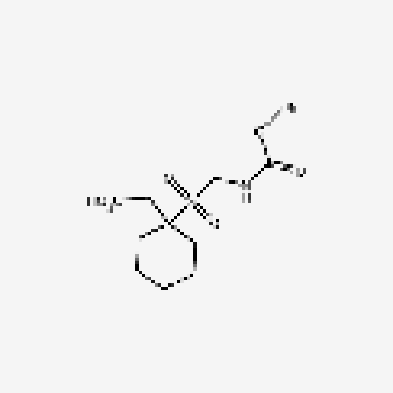 CC(C)(C)OC(=O)NCS(=O)(=O)C1(CC(=O)O)CCCCC1